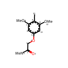 CNC(=O)COc1cc(OC)c(C)c(OC)c1